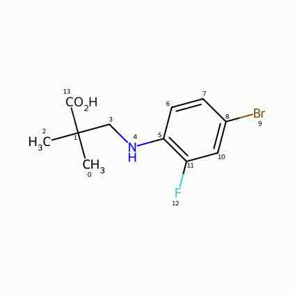 CC(C)(CNc1ccc(Br)cc1F)C(=O)O